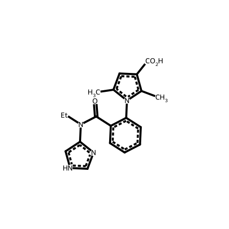 CCN(C(=O)c1ccccc1-n1c(C)cc(C(=O)O)c1C)c1c[nH]cn1